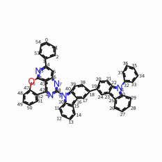 c1ccc(-c2cc3nc(-n4c5ccccc5c5cc(-c6ccc7c(c6)c6ccccc6n7-c6ccccc6)ccc54)nc4c3c(n2)Oc2ccccc2-4)cc1